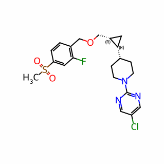 CS(=O)(=O)c1ccc(COC[C@@H]2C[C@@H]2C2CCN(c3ncc(Cl)cn3)CC2)c(F)c1